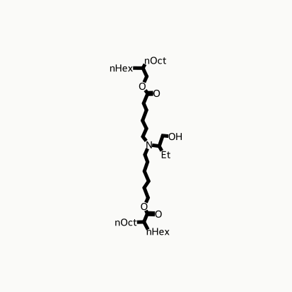 CCCCCCCCC(CCCCCC)COC(=O)CCCCCN(CCCCCCOC(=O)C(CCCCCC)CCCCCCCC)C(CC)CO